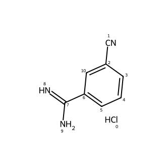 Cl.N#Cc1cccc(C(=N)N)c1